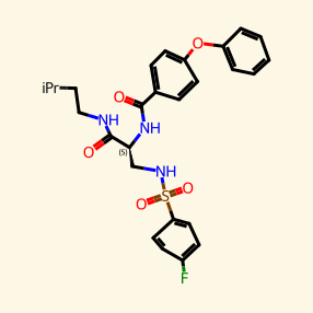 CC(C)CCNC(=O)[C@H](CNS(=O)(=O)c1ccc(F)cc1)NC(=O)c1ccc(Oc2ccccc2)cc1